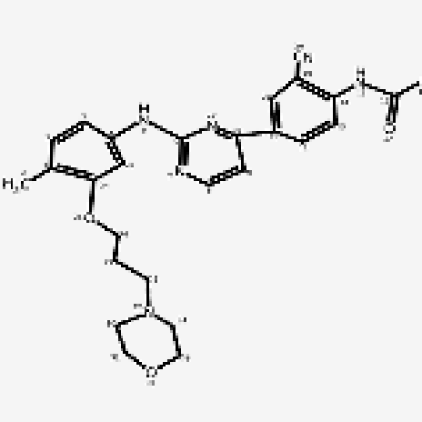 Cc1ccc(Nc2nccc(-c3ccc(NC(=O)C(C)C)c(C#N)c3)n2)cc1OCCCN1CCOCC1